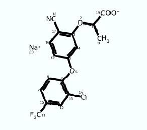 CC(Oc1cc(Oc2ccc(C(F)(F)F)cc2Cl)ccc1C#N)C(=O)[O-].[Na+]